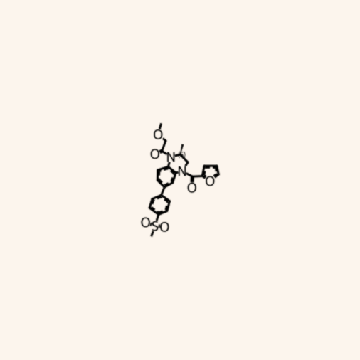 COCC(=O)N1c2ccc(-c3ccc(S(C)(=O)=O)cc3)cc2N(C(=O)c2ccco2)C[C@@H]1C